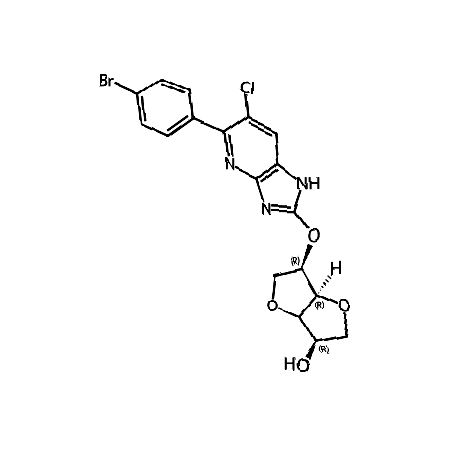 O[C@@H]1CO[C@H]2C1OC[C@H]2Oc1nc2nc(-c3ccc(Br)cc3)c(Cl)cc2[nH]1